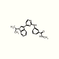 CNC(=O)c1cccc(Nc2nccc(-c3cn(C(C)C)c4cnccc34)n2)c1